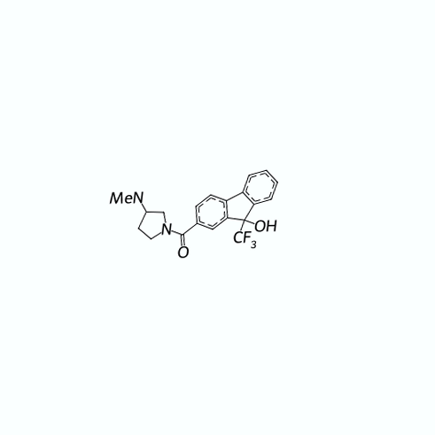 CNC1CCN(C(=O)c2ccc3c(c2)C(O)(C(F)(F)F)c2ccccc2-3)C1